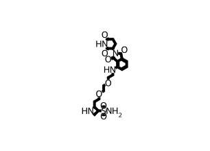 NS(=O)(=O)C1CNC1CCOCCOCCNc1cccc2c1C(=O)N(C1CCC(=O)NC1=O)C2=O